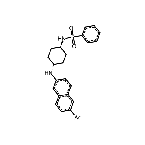 CC(=O)c1ccc2cc(N[C@H]3CC[C@H](NS(=O)(=O)c4ccccc4)CC3)ccc2c1